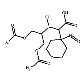 CC(=O)OCC(COC(C)=O)N(C)C(C(=O)O)C1(N=O)CCOCC1